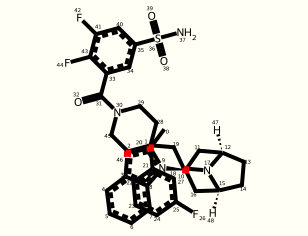 Cc1nc2ccccc2n1[C@H]1C[C@H]2CC[C@@H](C1)N2CCC1(c2cccc(F)c2)CCN(C(=O)c2cc(S(N)(=O)=O)cc(F)c2F)CC1